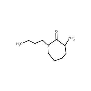 CCCCN1CCCCC(N)C1=O